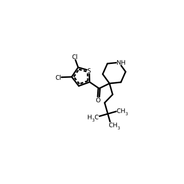 CC(C)(C)CCC1(C(=O)c2cc(Cl)c(Cl)s2)CCNCC1